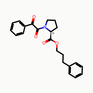 O=C(C(=O)N1CCC[C@H]1C(=O)OCCCc1ccccc1)c1ccccc1